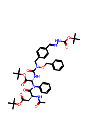 CC(=O)N[C@@H](CC(=O)OC(C)(C)C)C(=O)N(c1ccccc1)[C@@H](NC(=O)N(Cc1ccc(C=NNC(=O)OC(C)(C)C)cc1)OCc1ccccc1)C(=O)OC(C)(C)C